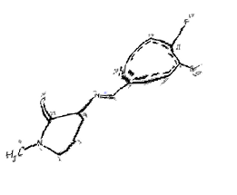 CN1CCC(/N=C/c2cc(Br)c(F)cn2)C1=O